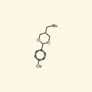 CCC(C)CC1COC(c2ccc(C#N)cc2)OC1